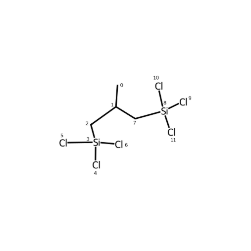 CC(C[Si](Cl)(Cl)Cl)C[Si](Cl)(Cl)Cl